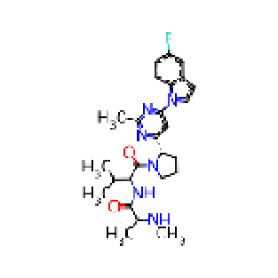 CN[C@@H](C)C(=O)N[C@H](C(=O)N1CCC[C@H]1c1cc(-n2ccc3cc(F)ccc32)nc(C)n1)C(C)C